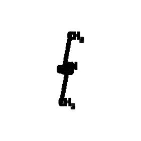 CCCCCCCCCCCCCCCCCCC1(N(O)C2(CCCCCCCCCCCCCCCCCC)OC2=O)OC1=O